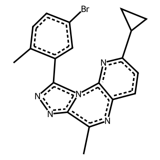 Cc1ccc(Br)cc1-c1nnc2c(C)nc3ccc(C4CC4)nc3n12